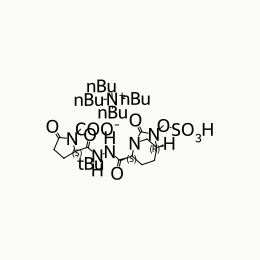 CC(C)(C)[C@]1(C(=O)NNC(=O)[C@@H]2CC[C@@H]3CN2C(=O)N3OS(=O)(=O)O)CCC(=O)N1C(=O)[O-].CCCC[N+](CCCC)(CCCC)CCCC